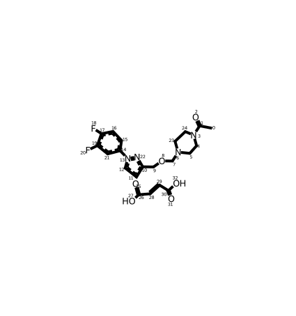 CC(=O)N1CCN(COCc2ccn(-c3ccc(F)c(F)c3)n2)CC1.O=C(O)C=CC(=O)O